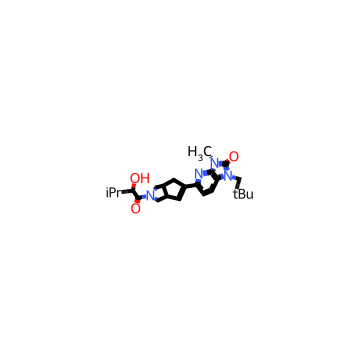 CC(C)C(O)C(=O)N1CC2C=C(c3ccc4c(n3)n(C)c(=O)n4CC(C)(C)C)CC2C1